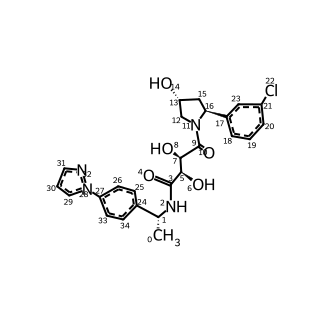 C[C@@H](NC(=O)[C@H](O)[C@@H](O)C(=O)N1C[C@H](O)C[C@H]1c1cccc(Cl)c1)c1ccc(-n2cccn2)cc1